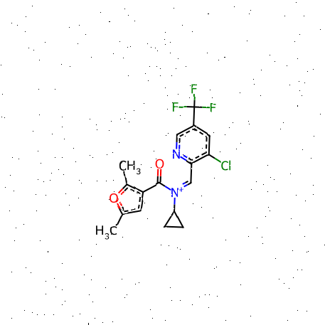 Cc1cc(C(=O)[N+](=Cc2ncc(C(F)(F)F)cc2Cl)C2CC2)c(C)o1